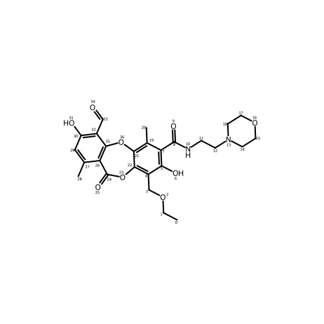 CCOCc1c(O)c(C(=O)NCCN2CCOCC2)c(C)c2c1OC(=O)c1c(C)cc(O)c(C=O)c1O2